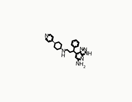 Nc1cc(C(CCN[C@H]2CC[C@H](c3ccncc3)CC2)c2ccccc2)c2nn[nH]c2n1